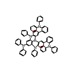 c1ccc(N(c2ccccc2)c2cc3c4c(c2)N(c2ccccc2)c2ccc(-c5ccccc5N(c5ccccc5)c5ccccc5)cc2B4c2cc(-c4ccccc4N(c4ccccc4)c4ccccc4)ccc2N3c2ccccc2)cc1